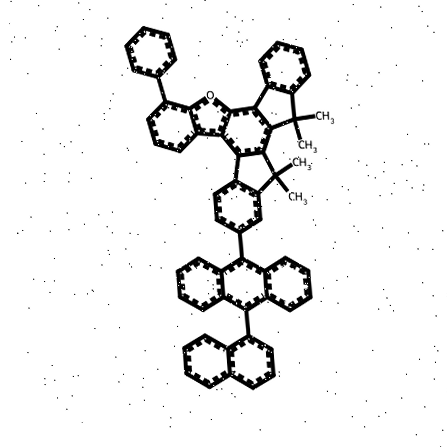 CC1(C)c2ccccc2-c2c1c1c(c3c2oc2c(-c4ccccc4)cccc23)-c2ccc(-c3c4ccccc4c(-c4cccc5ccccc45)c4ccccc34)cc2C1(C)C